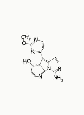 COc1nccc(-c2c3c(O)ccnc3n3c(N)nccc23)n1